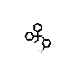 CCC(Oc1cccc(N)c1)(c1ccccc1)c1ccccc1